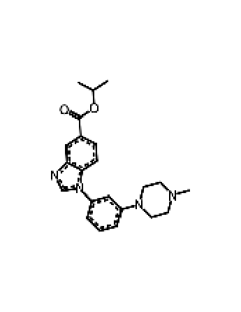 CC(C)OC(=O)c1ccc2c(c1)ncn2-c1cccc(N2CCN(C)CC2)c1